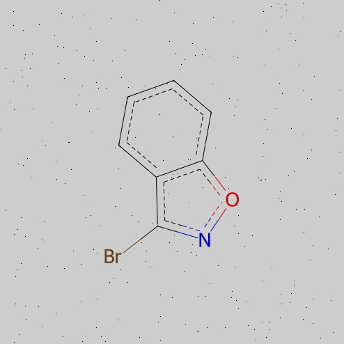 Brc1noc2ccccc12